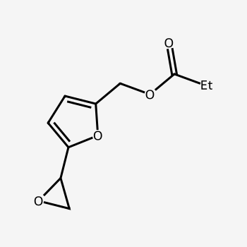 CCC(=O)OCc1ccc(C2CO2)o1